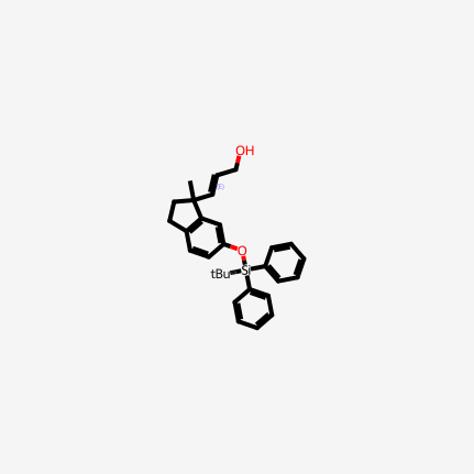 CC1(/C=C/CO)CCc2ccc(O[Si](c3ccccc3)(c3ccccc3)C(C)(C)C)cc21